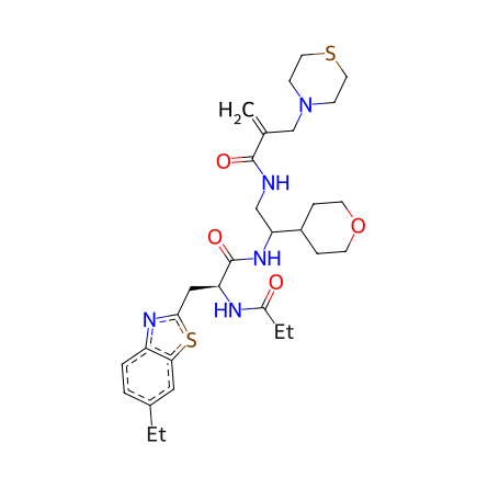 C=C(CN1CCSCC1)C(=O)NCC(NC(=O)[C@H](Cc1nc2ccc(CC)cc2s1)NC(=O)CC)C1CCOCC1